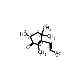 CC(=O)/C=C/C1=C(C)C(=O)[C@@H](O)CC1(C)C